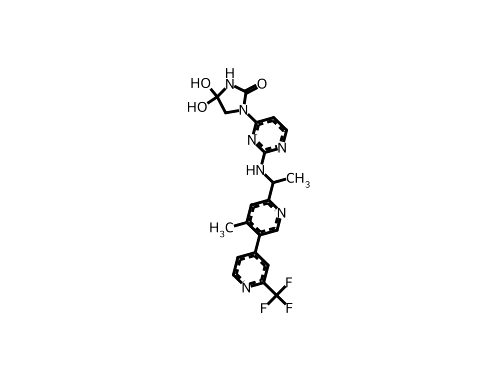 Cc1cc(C(C)Nc2nccc(N3CC(O)(O)NC3=O)n2)ncc1-c1ccnc(C(F)(F)F)c1